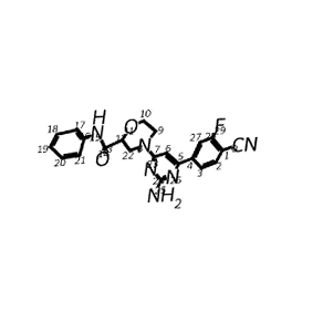 N#Cc1ccc(-c2cc(N3CCOC(C(=O)Nc4ccccc4)C3)nc(N)n2)cc1F